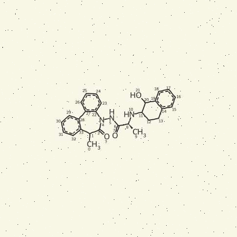 CC1C(=O)N(NC(=O)[C@H](C)NC2CCc3ccccc3C2O)c2ccccc2-c2ccccc21